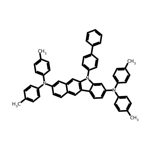 Cc1ccc(N(c2ccc(C)cc2)c2ccc3cc4c5ccc(N(c6ccc(C)cc6)c6ccc(C)cc6)cc5n(-c5ccc(-c6ccccc6)cc5)c4cc3c2)cc1